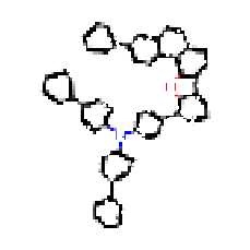 c1ccc(-c2ccc(N(c3ccc(-c4ccccc4)cc3)c3ccc(-c4cccc5c4oc4c5ccc5ccc6cc(-c7ccccc7)ccc6c54)cc3)cc2)cc1